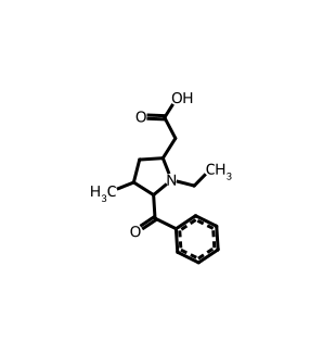 CCN1C(CC(=O)O)CC(C)C1C(=O)c1ccccc1